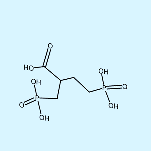 O=C(O)C(CCP(=O)(O)O)CP(=O)(O)O